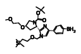 Bc1ccc(-c2cn(COCC[Si](C)(C)C)c([C@@H]3C[C@H](OCCOC)CN3C(=O)OC(C)(C)C)n2)cc1